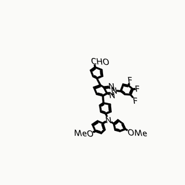 COc1ccc(N(c2ccc(OC)cc2)c2ccc(-c3ccc(-c4ccc(C=O)cc4)c4nn(-c5cc(F)c(F)c(F)c5)nc34)cc2)cc1